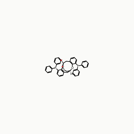 c1ccc(P(c2ccccc2)c2cccc3c2O[C@@H]2COC[C@H](C3)Oc3c(cccc3P(c3ccccc3)c3ccccc3)C2)cc1